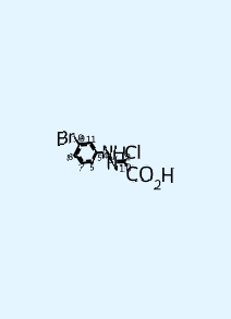 O=C(O)/C(Cl)=N/Nc1cccc(Br)c1